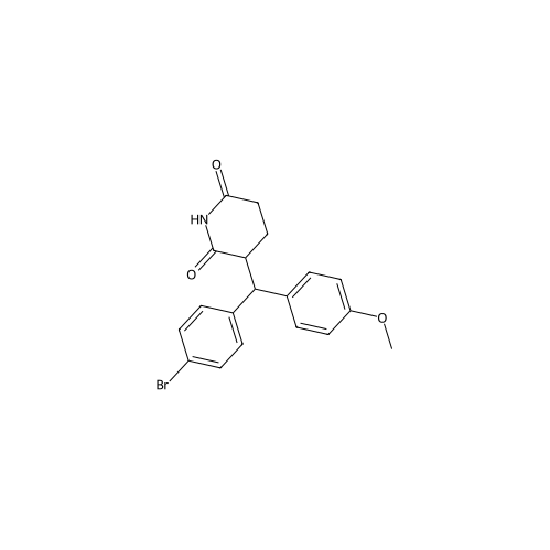 COc1ccc(C(c2ccc(Br)cc2)C2CCC(=O)NC2=O)cc1